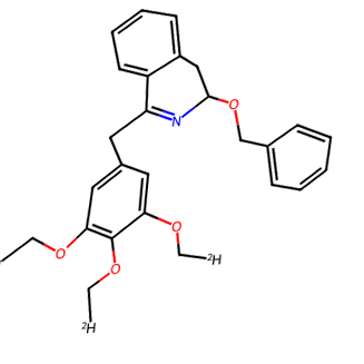 [2H]COc1cc(CC2=NC(OCc3ccccc3)Cc3ccccc32)cc(OC[2H])c1OC[2H]